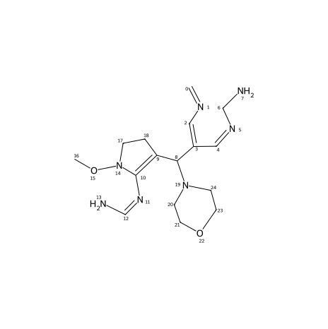 C=N/C=C(\C=N/CN)C(C1=C(/N=C\N)N(OC)CC1)N1CCOCC1